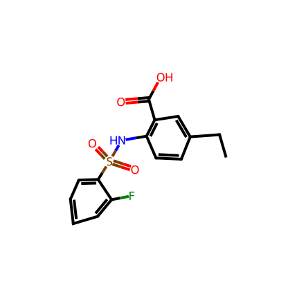 CCc1ccc(NS(=O)(=O)c2ccccc2F)c(C(=O)O)c1